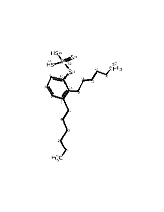 CCCCCCc1cccc(SP(=S)(S)S)c1CCCCCC